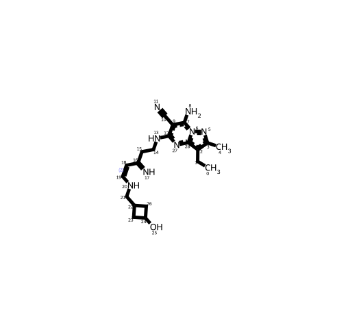 CCc1c(C)nn2c(N)c(C#N)c(NCCC(=N)/C=C\NCC3CC(O)C3)nc12